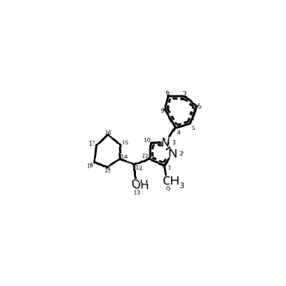 Cc1nn(-c2ccccc2)cc1C(O)C1CCCCC1